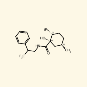 CC(C)[C@@H]1CC[C@@H](C)C[C@@]1(O)C(=O)NCC(c1ccccc1)C(F)(F)F